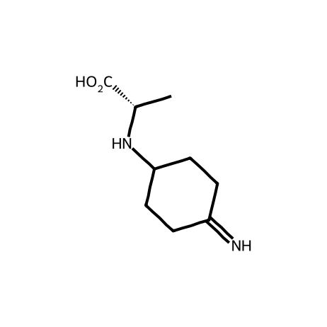 C[C@H](NC1CCC(=N)CC1)C(=O)O